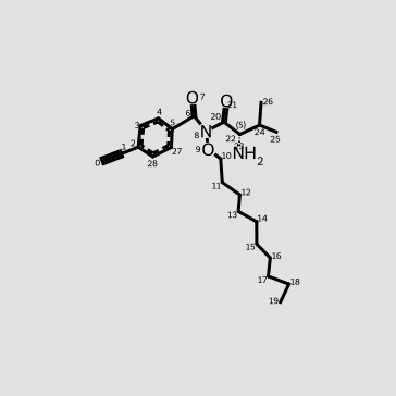 C#Cc1ccc(C(=O)N(OCCCCCCCCCC)C(=O)[C@@H](N)C(C)C)cc1